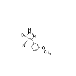 COc1cccc(-c2nc[nH]c(=O)c2C#N)c1